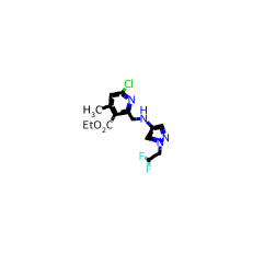 CCOC(=O)c1c(C)cc(Cl)nc1CNc1cnn(CC(F)F)c1